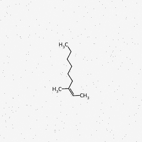 CC=C(C)CCCCCC